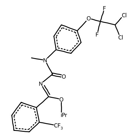 CC(C)OC(=NC(=O)N(C)c1ccc(OC(F)(F)C(Cl)Cl)cc1)c1ccccc1C(F)(F)F